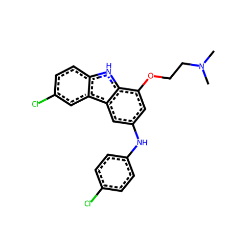 CN(C)CCOc1cc(Nc2ccc(Cl)cc2)cc2c1[nH]c1ccc(Cl)cc12